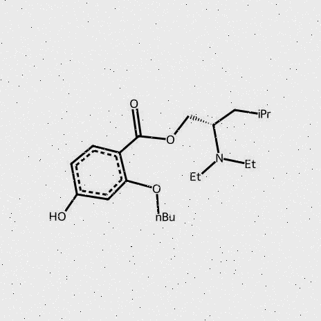 CCCCOc1cc(O)ccc1C(=O)OC[C@H](CC(C)C)N(CC)CC